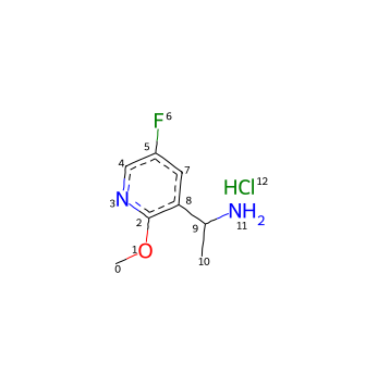 COc1ncc(F)cc1C(C)N.Cl